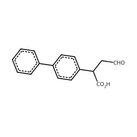 O=CCC(C(=O)O)c1ccc(-c2ccccc2)cc1